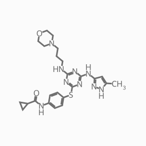 Cc1cc(Nc2nc(NCCCN3CCOCC3)nc(Sc3ccc(NC(=O)C4CC4)cc3)n2)n[nH]1